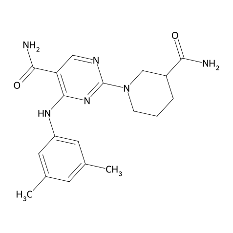 Cc1cc(C)cc(Nc2nc(N3CCCC(C(N)=O)C3)ncc2C(N)=O)c1